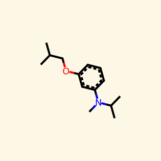 CC(C)COc1cccc(N(C)C(C)C)c1